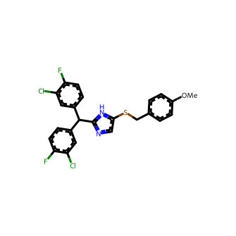 COc1ccc(CSc2cnc(C(c3ccc(F)c(Cl)c3)c3ccc(F)c(Cl)c3)[nH]2)cc1